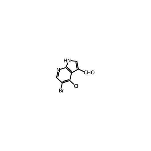 O=Cc1c[nH]c2ncc(Br)c(Cl)c12